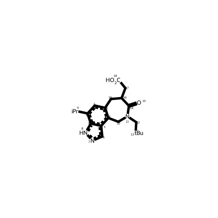 CC(C)c1cc2c(c3cn[nH]c13)CN(CC(C)(C)C)C(=O)C(CC(=O)O)C2